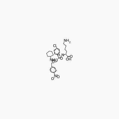 NC1CCCCC1.NCCCC[C@H](N)C(=O)O.O=C(O)c1ccc(Cl)cc1.O=Cc1ccc([N+](=O)[O-])cc1